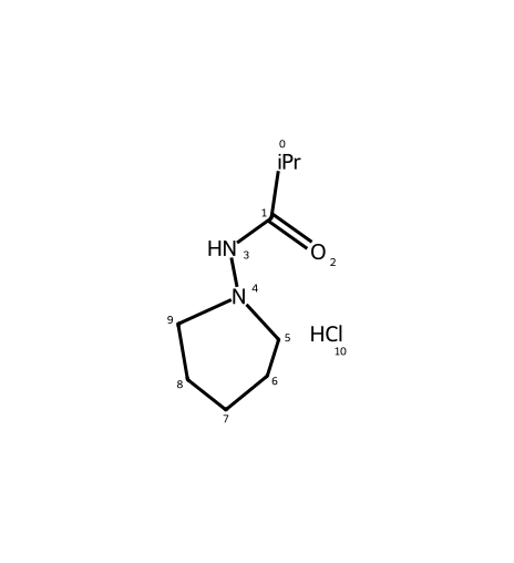 CC(C)C(=O)NN1CCCCC1.Cl